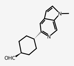 Cn1ccc2cc([C@H]3CC[C@H](C=O)CC3)ncc21